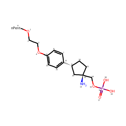 CCCCCOCCOc1ccc([C@@H]2CC[C@](N)(COP(=O)(O)O)C2)cc1